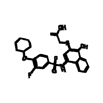 C=C(O)CSc1cc(NS(=O)(=O)c2ccc(OC3CCCCC3)c(F)c2)c2ccccc2c1O